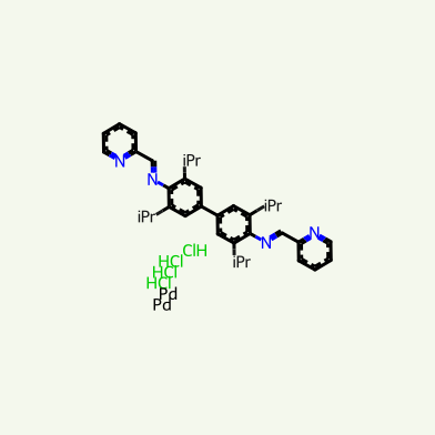 CC(C)c1cc(-c2cc(C(C)C)c(N=Cc3ccccn3)c(C(C)C)c2)cc(C(C)C)c1N=Cc1ccccn1.Cl.Cl.Cl.Cl.[Pd].[Pd]